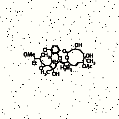 CC[C@H](OC)[C@@H](C)[C@H]1OC1C(NCc1c(Cl)cccc1Cl)C(C)(O)/C=C/C=C(\C)C1OC(=O)C[C@H](O)CC[C@@](C)(O)[C@@H](OC(C)=O)/C=C/[C@@H]1C